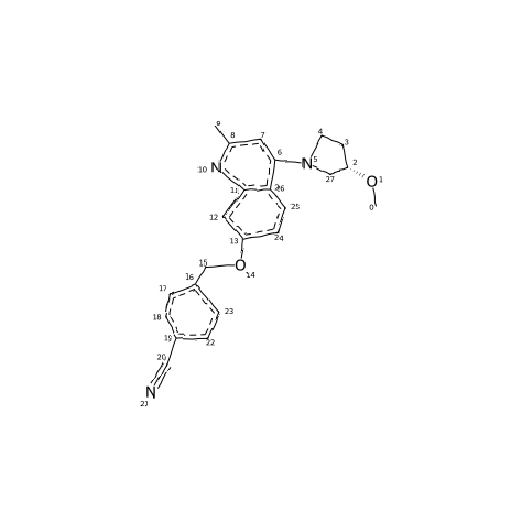 CO[C@H]1CCN(c2cc(C)nc3cc(OCc4ccc(C#N)cc4)ccc23)C1